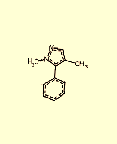 Cc1cnn(C)c1-c1[c]cccc1